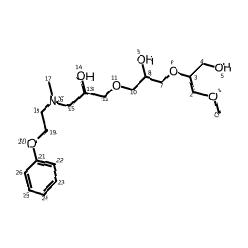 COCC(CO)OCC(O)COCC(O)CN(C)CCOc1ccccc1